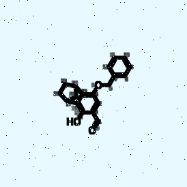 O=Cc1cc(OCc2ccccc2)c2c(c1O)C1CCC2C1